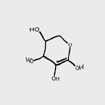 OC1=C(O)C(O)C(O)CO1